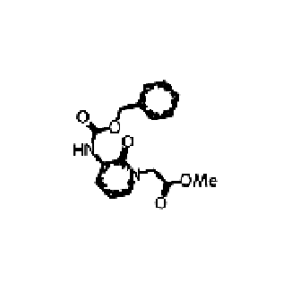 COC(=O)Cn1cccc(NC(=O)OCc2ccccc2)c1=O